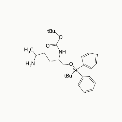 CC(N)CC[C@@H](CO[Si](c1ccccc1)(c1ccccc1)C(C)(C)C)NC(=O)OC(C)(C)C